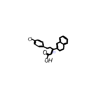 O=C(O)/C=C(\CCc1ccc(Cl)cc1)c1ccc2ccccc2c1